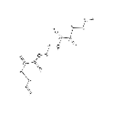 C=CCCC(=C)C(=O)OCCOC(=O)C(=C)CCC=C